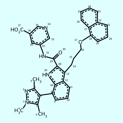 Cc1nn(C)c(C)c1-c1cccc2c(CCCOc3cccc4ccccc34)c(C(=O)Nc3cncc(C(=O)O)c3)[nH]c12